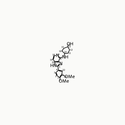 COc1ccc(-c2nc3c(NC4CCC(O)CC4)nccc3[nH]2)cc1OC